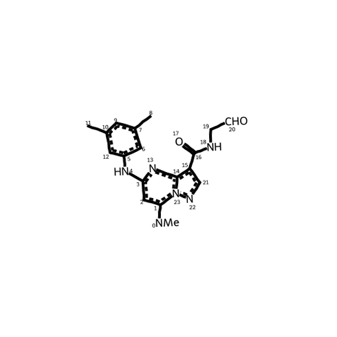 CNc1cc(Nc2cc(C)cc(C)c2)nc2c(C(=O)NCC=O)cnn12